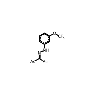 CC(=O)C(=NNc1cccc(OC(F)(F)F)c1)C(C)=O